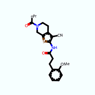 CCCC(=O)N1CCc2c(sc(NC(=O)CCc3ccccc3OC)c2C#N)C1